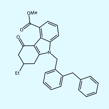 CCC1CC(=O)c2c(n(Cc3ccccc3Cc3ccccc3)c3cccc(C(=O)OC)c23)C1